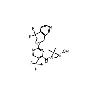 CC1(C)[C@H](O)C[C@@H]1Nc1nc(NCc2cnccc2C(F)(F)F)ncc1C(F)(F)F